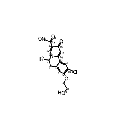 CC(C)C1Cc2cc(OCCO)c(Cl)cc2-c2cc(=O)c(C(=O)N=O)cn21